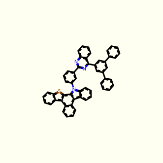 c1ccc(-c2cc(-c3ccccc3)cc(-c3nc(-c4cccc(-n5c6ccccc6c6c7ccccc7c7c8ccccc8sc7c65)c4)nc4ccccc34)c2)cc1